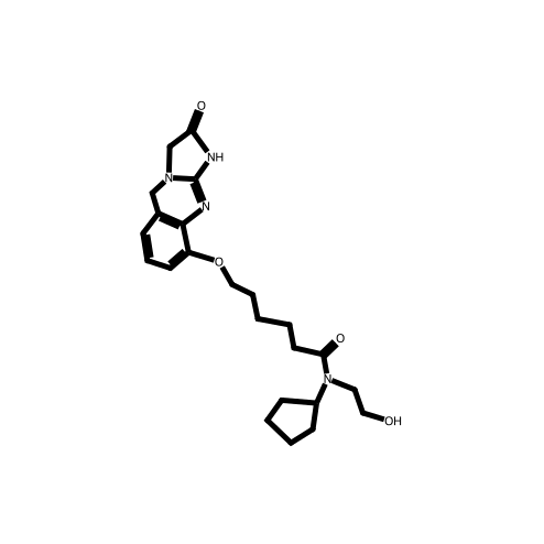 O=C1CN2Cc3cccc(OCCCCCC(=O)N(CCO)C4CCCC4)c3N=C2N1